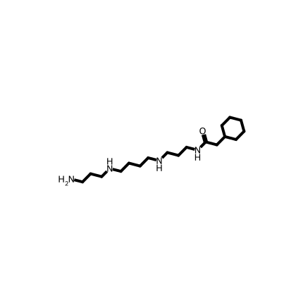 NCCCNCCCCNCCCNC(=O)CC1CCCCC1